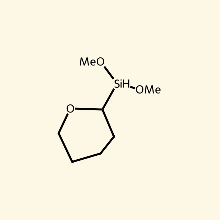 CO[SiH](OC)C1CCCCO1